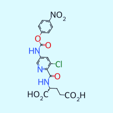 O=C(O)CC[C@H](NC(=O)c1ncc(NC(=O)Oc2ccc([N+](=O)[O-])cc2)cc1Cl)C(=O)O